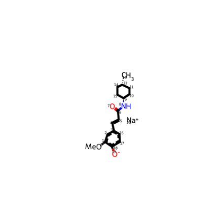 COc1cc(C=CC(=O)N[C@H]2CC[C@@H](C)CC2)ccc1[O-].[Na+]